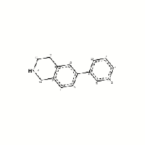 c1cncc(-c2ccc3c(c2)CCNC3)c1